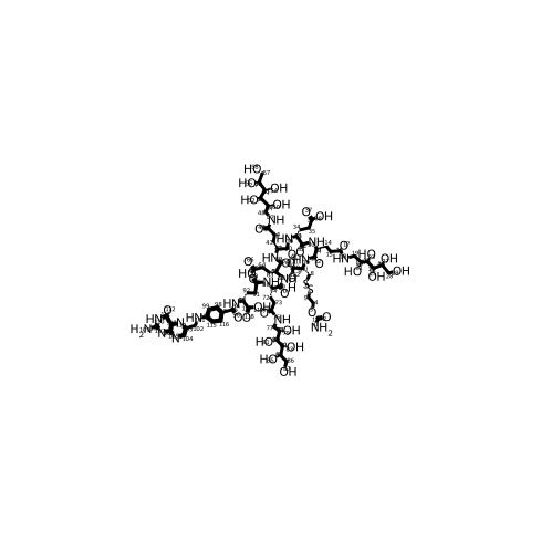 NC(=O)OCCSSC[C@@H](NC(=O)[C@H](CCC(=O)NC[C@H](O)[C@@H](O)[C@H](O)[C@H](O)CO)NC(=O)[C@@H](CCC(=O)O)NC(=O)[C@H](CCC(=O)NC[C@H](O)[C@@H](O)[C@H](O)[C@H](O)CO)NC(=O)[C@@H](CCC(=O)O)NC(=O)[C@H](CCC(=O)NC[C@H](O)[C@@H](O)[C@H](O)[C@H](O)CO)NC(=O)CC[C@@H](NC(=O)c1ccc(NCc2cnc3nc(N)[nH]c(=O)c3n2)cc1)C(=O)O)C(=O)O